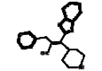 O=CC(Cc1ccccc1)=C(c1nc2ccccc2s1)C1CCNCC1